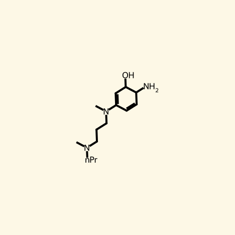 CCCN(C)CCCN(C)C1=CC(O)C(N)C=C1